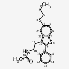 CCCSc1ccc2sc(-c3ccccc3)c(CCNC(C)=O)c2c1